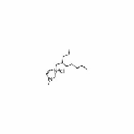 CCCCCC(CCC)C[N+]1(Cl)C=CN(C)C1